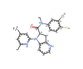 Cc1cc(C(F)(F)F)cc(N2c3cccnc3CC2C(=O)N(C)c2ccc(F)c(Cl)c2)n1